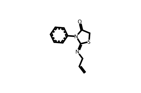 C=CC/N=C1\SCC(=O)N1c1ccccc1